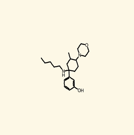 CCCCCNC1(c2cccc(O)c2)CCC(N2CCOCC2)C(C)C1